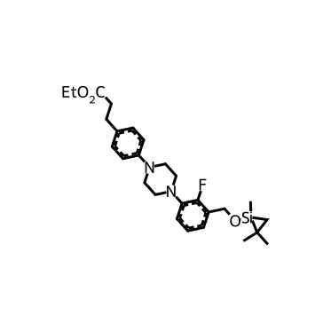 CCOC(=O)CCc1ccc(N2CCN(c3cccc(CO[Si]4(C)CC4(C)C)c3F)CC2)cc1